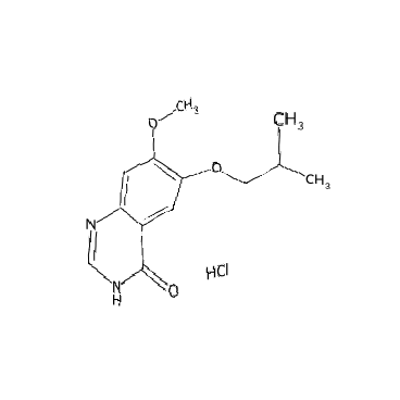 COc1cc2nc[nH]c(=O)c2cc1OCC(C)C.Cl